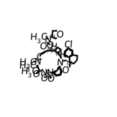 CN(C(=O)O[C@H]1C=CCN(C)C(C)(C)C(=O)NS(=O)(=O)c2ccc3c(c2)N(C[C@@H]2CC[C@H]21)C[C@@]1(CCCc2cc(Cl)ccc21)CO3)[C@@H]1CCOC1